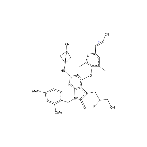 COc1ccc(Cn2c(=O)n(CC(F)CO)c3c(Oc4c(C)cc(/C=C/C#N)cc4C)nc(NC45CC(C#N)(C4)C5)nc32)c(OC)c1